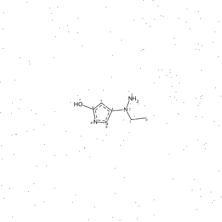 CCN(N)c1cc(O)ns1